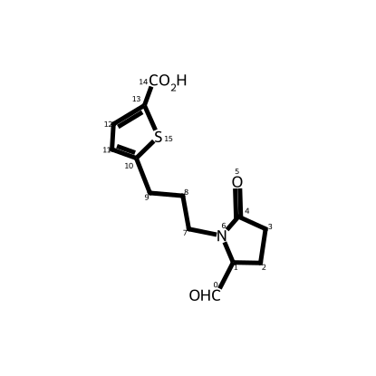 O=CC1CCC(=O)N1CCCc1ccc(C(=O)O)s1